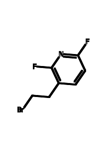 Fc1ccc(CCBr)c(F)n1